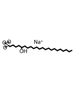 CCCCCCCCCCCCCCCCCC(O)CCCCS(=O)(=O)[O-].[Na+]